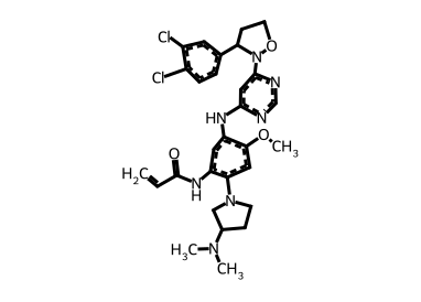 C=CC(=O)Nc1cc(Nc2cc(N3OCCC3c3ccc(Cl)c(Cl)c3)ncn2)c(OC)cc1N1CCC(N(C)C)C1